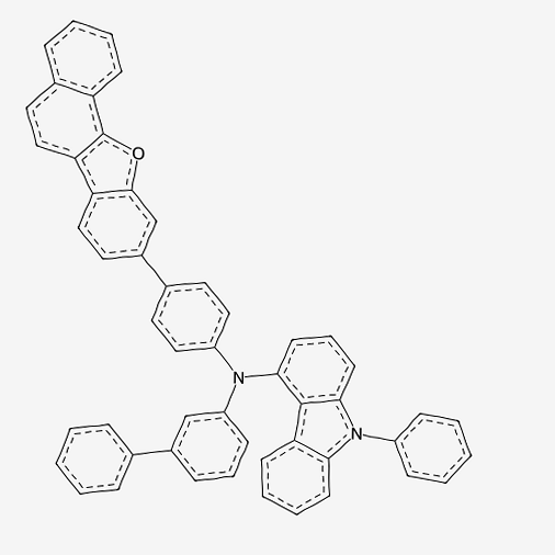 c1ccc(-c2cccc(N(c3ccc(-c4ccc5c(c4)oc4c6ccccc6ccc54)cc3)c3cccc4c3c3ccccc3n4-c3ccccc3)c2)cc1